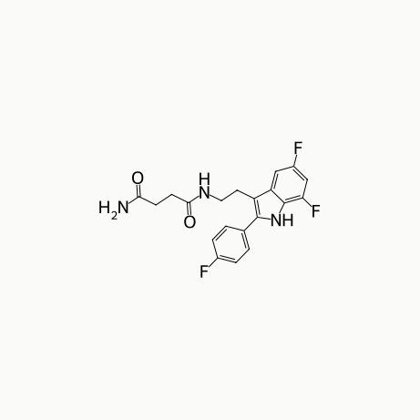 NC(=O)CCC(=O)NCCc1c(-c2ccc(F)cc2)[nH]c2c(F)cc(F)cc12